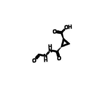 O=CNNC(=O)[C@H]1C[C@@H]1C(=O)O